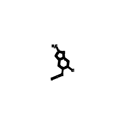 Cn1cc2cc(N=C=S)c(Cl)cc2n1